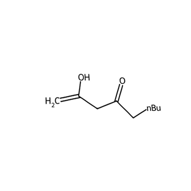 C=C(O)CC(=O)CCCCC